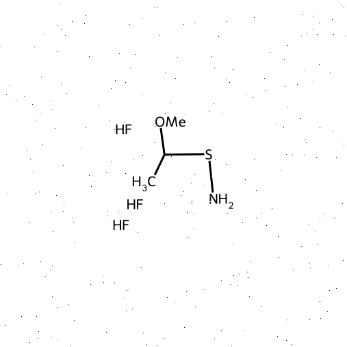 COC(C)SN.F.F.F